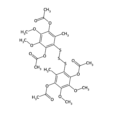 COc1c(OC(C)=O)c(C)c(SSSc2c(C)c(OC(C)=O)c(OC)c(OC)c2OC(C)=O)c(OC(C)=O)c1OC